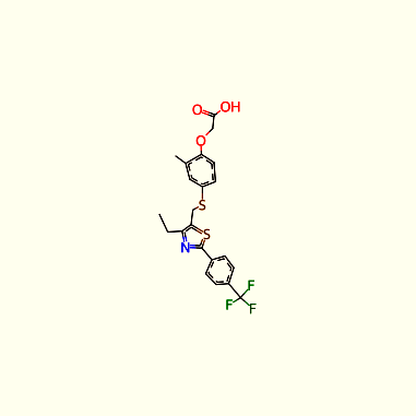 CCc1nc(-c2ccc(C(F)(F)F)cc2)sc1CSc1ccc(OCC(=O)O)c(C)c1